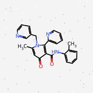 Cc1ccccc1NC(=O)c1c(-c2ccccn2)n(Cc2cccnc2)c(C)cc1=O